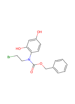 O=C(OCc1ccccc1)N(CCBr)c1ccc(O)cc1O